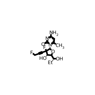 CC[C@@H](O)C1O[C@@H](n2c(C)cc(N)nc2=O)C(F)(C#CCF)[C@H]1O